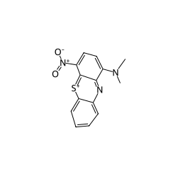 CN(C)c1ccc([N+](=O)[O-])c2[s+]c3ccccc3nc12